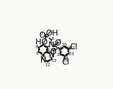 O=P(O)(O)CN(c1cccc2nccnc12)S(=O)(=O)c1cc(Cl)cc(Cl)c1